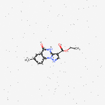 CCOC(=O)c1cnn2c1[nH]c(=O)c1cc(C)ccc12